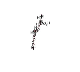 Cc1ccnc(NCCCCNCC(=O)N[C@@H](CC(=O)O)c2ccc(-c3ccc(C(=O)N[C@@H](CC(C)C)C(=O)NCCOCCOCCOCCOCCOCCN=[N+]=[N-])c4ccccc34)cc2)c1